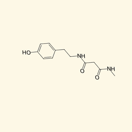 CNC(=O)CC(=O)NCCc1ccc(O)cc1